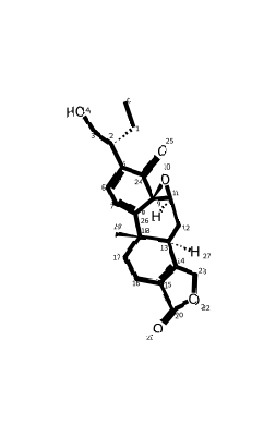 CC[C@@H](CO)C1=CC=C2[C@]3(O[C@H]3C[C@H]3C4=C(CC[C@]23C)C(=O)OC4)C1=O